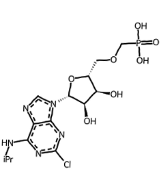 CC(C)Nc1nc(Cl)nc2c1ncn2[C@@H]1O[C@H](COCP(=O)(O)O)[C@@H](O)[C@H]1O